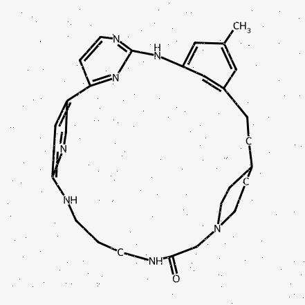 Cc1cc2cc(c1)Nc1nccc(n1)-c1ccc(nc1)NCCCNC(=O)CN1CCC(CC2)CC1